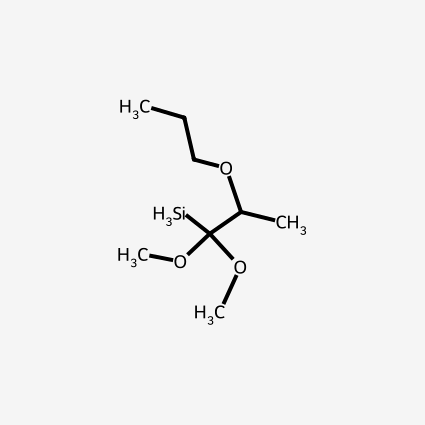 CCCOC(C)C([SiH3])(OC)OC